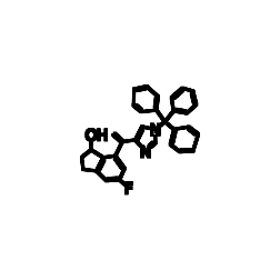 C=C(c1cn(C(c2ccccc2)(c2ccccc2)c2ccccc2)cn1)c1cc(F)cc2c1C(O)CC2